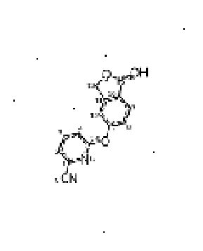 N#Cc1cccc(Oc2ccc3c(c2)COB3O)n1